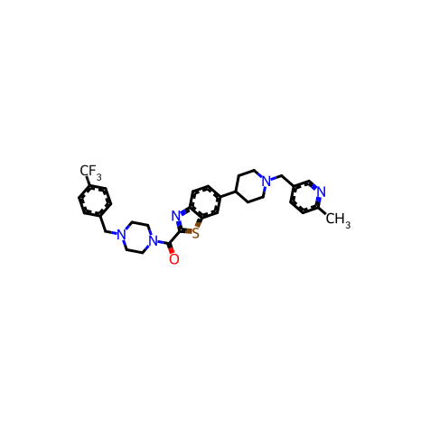 Cc1ccc(CN2CCC(c3ccc4nc(C(=O)N5CCN(Cc6ccc(C(F)(F)F)cc6)CC5)sc4c3)CC2)cn1